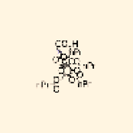 CCCC(=O)OC[C@H]1O[C@](C)(OC(=O)/C=C/C(=O)O)[C@@H](OC(=O)CCC)[C@@H](OC(=O)CCC)[C@@H]1OC(=O)CCC